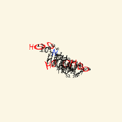 C[C@]12CC[C@H](N3CCOC(CO)C3)C[C@@]1(O)CC[C@@H]1[C@@H]2CC[C@]2(C)[C@@H](c3ccc(=O)oc3)CC[C@]12O